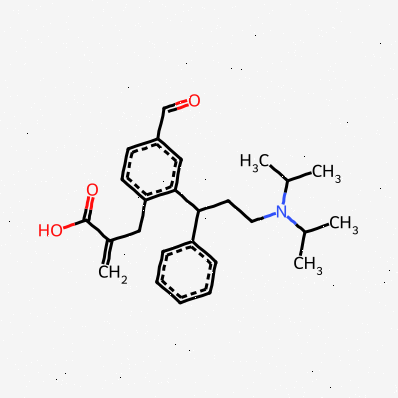 C=C(Cc1ccc(C=O)cc1C(CCN(C(C)C)C(C)C)c1ccccc1)C(=O)O